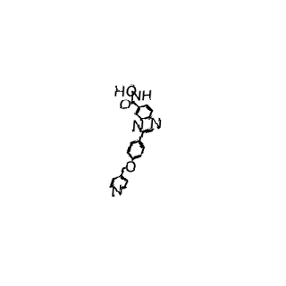 O=C(NO)c1ccc2ncc(-c3ccc(OCc4ccncc4)cc3)nc2c1